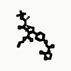 C=CCOC(=O)C1=C(c2ccc(OCC(=O)N3CCOC3=O)cc2)CC2[C@@H]([C@@H](C)O[Si](C)(C)C)C(=O)N12